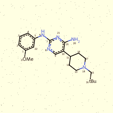 COc1cccc(Nc2ncc(C3CCN(CC(C)(C)C)CC3)c(N)n2)c1